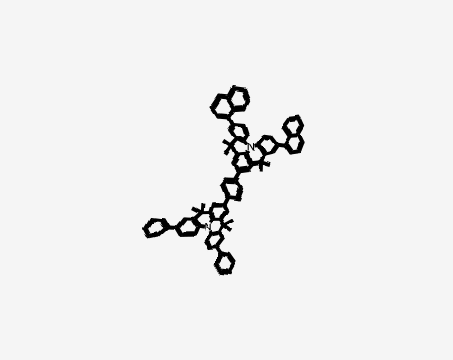 CC1(C)c2cc(-c3ccccc3)ccc2N2c3ccc(-c4ccccc4)cc3C(C)(C)c3cc(-c4ccc(-c5cc6c7c(c5)C(C)(C)c5cc(-c8cccc9ccccc89)ccc5N7c5ccc(-c7cccc8ccccc78)cc5C6(C)C)cc4)cc1c32